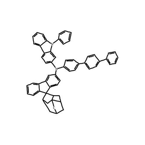 c1ccc(-c2ccc(-c3ccc(N(c4ccc5c(c4)-c4ccccc4C54C5CC6CC7CC4C7(C6)C5)c4ccc5c6ccccc6n(-c6ccccc6)c5c4)cc3)cc2)cc1